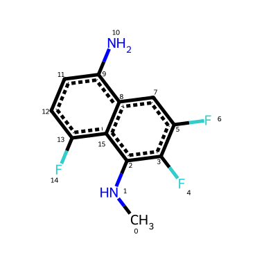 CNc1c(F)c(F)cc2c(N)ccc(F)c12